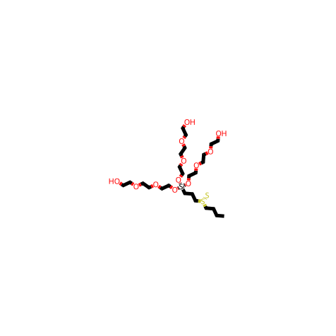 CCCCS(=S)CCC[Si](OCCOCCOCCO)(OCCOCCOCCO)OCCOCCOCCO